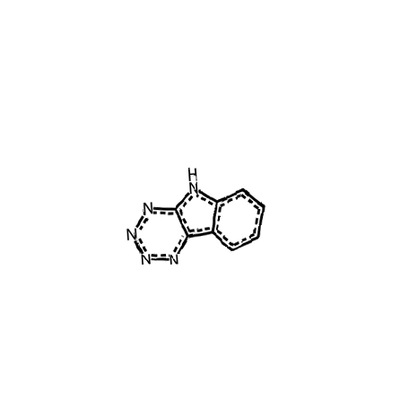 c1ccc2c(c1)[nH]c1nnnnc12